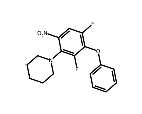 O=[N+]([O-])c1cc(F)c(Oc2ccccc2)c(F)c1N1C[CH]CCC1